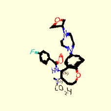 CN(C(=O)O)[C@H]1CCOc2ccc(N3CCN(C4COC4)CC3)cc2[C@@H]1NC(=O)c1ccc(F)cc1